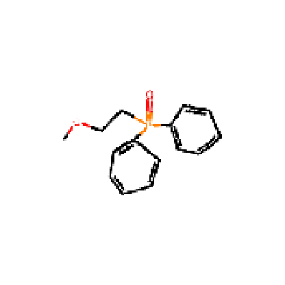 COCCP(=O)(c1ccccc1)c1ccccc1